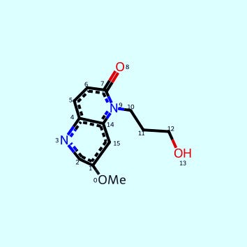 COc1cnc2ccc(=O)n(CCCO)c2c1